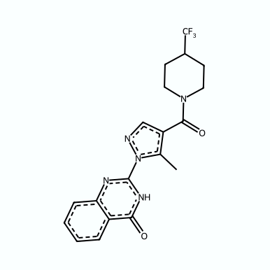 Cc1c(C(=O)N2CCC(C(F)(F)F)CC2)cnn1-c1nc2ccccc2c(=O)[nH]1